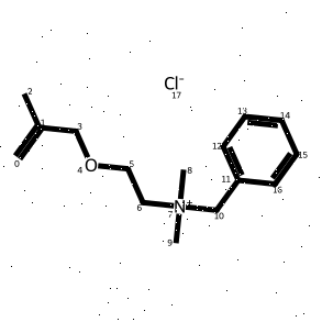 C=C(C)COCC[N+](C)(C)Cc1ccccc1.[Cl-]